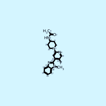 CC(=O)NC1CCN(c2cc(-c3nc4ccccc4n3C)c(F)cn2)CC1